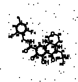 Cc1cc(F)c(CNC(=O)c2cn3c(c(O)c2=O)C(=O)N(CC(F)(F)F)[C@@H]2CCOC[C@H]23)c(F)c1